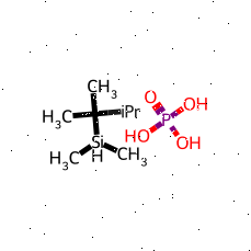 CC(C)C(C)(C)[SiH](C)C.O=P(O)(O)O